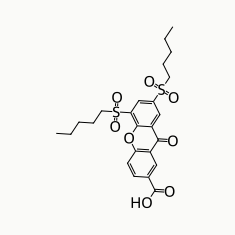 CCCCCS(=O)(=O)c1cc(S(=O)(=O)CCCCC)c2oc3ccc(C(=O)O)cc3c(=O)c2c1